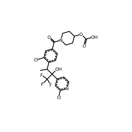 CC(c1ccc(C(=O)N2CCC(OC(=O)O)CC2)cc1Cl)C(O)(c1ccnc(Cl)c1)C(F)(F)F